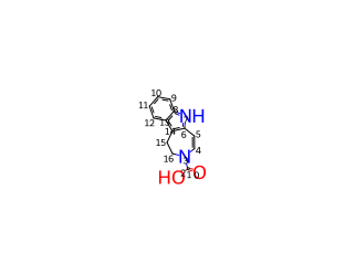 O=C(O)N1C=Cc2[nH]c3ccccc3c2CC1